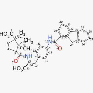 CC1(C(=O)O)CCC(C(=O)N[C@@H](Cc2ccc(NC(=O)c3cccc4c3Cc3ccccc3-4)cc2)C(=O)O)C1(C)C